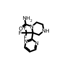 NC(=O)N1CCNCC1(c1ncccn1)C(F)(F)F